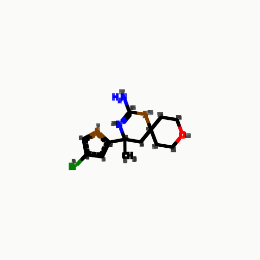 CC1(c2cc(Br)cs2)CC2(CCOCC2)SC(N)=N1